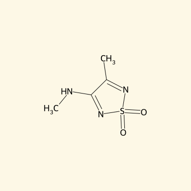 CNC1=NS(=O)(=O)N=C1C